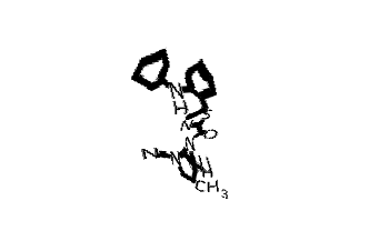 CC1CN(C#N)C2[C@@H]1N2C(=O)c1ncc(-c2ccccc2Nc2ccccc2)s1